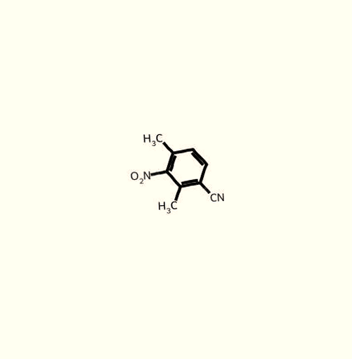 Cc1ccc(C#N)c(C)c1[N+](=O)[O-]